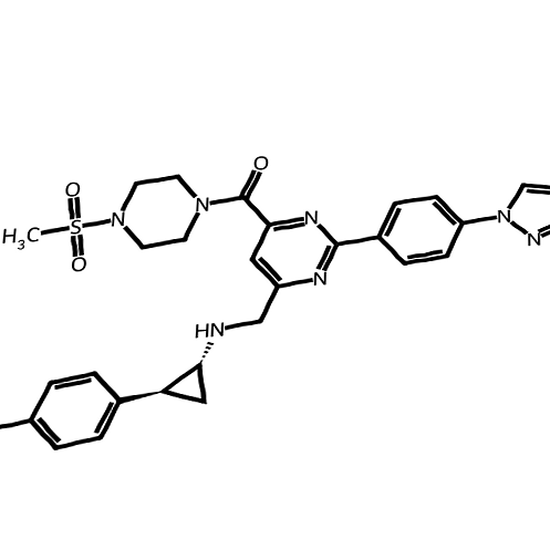 CS(=O)(=O)N1CCN(C(=O)c2cc(CN[C@@H]3C[C@H]3c3ccc(F)cc3)nc(-c3ccc(-n4ccnn4)cc3)n2)CC1